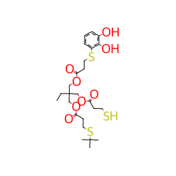 CCC(COC(=O)CCS)(COC(=O)CCSc1cccc(O)c1O)COC(=O)CCSC(C)(C)C